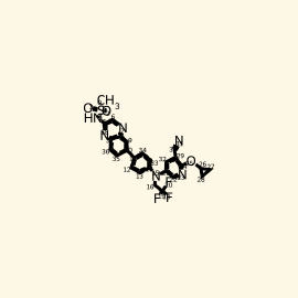 CS(=O)(=O)Nc1cnc2cc(-c3ccc(N(CC(F)(F)F)c4cnc(OC5CC5)c(C#N)c4)cc3)ccc2n1